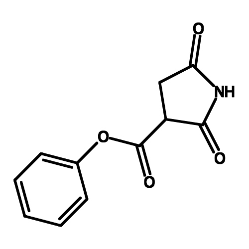 O=C1CC(C(=O)Oc2ccccc2)C(=O)N1